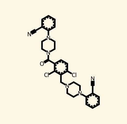 N#Cc1ccccc1N1CCN(Cc2c(Cl)ccc(C(=O)N3CCN(c4ccccc4C#N)CC3)c2Cl)CC1